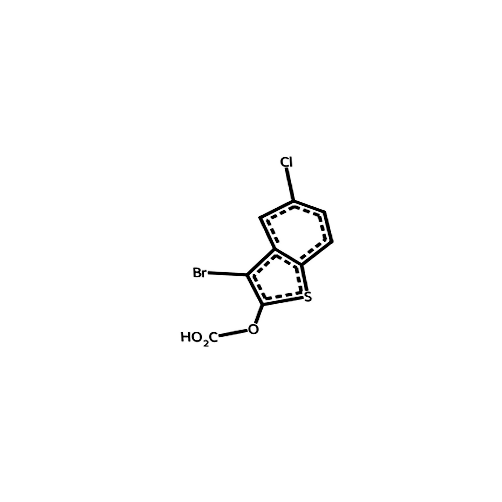 O=C(O)Oc1sc2ccc(Cl)cc2c1Br